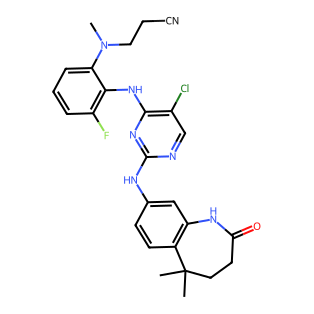 CN(CCC#N)c1cccc(F)c1Nc1nc(Nc2ccc3c(c2)NC(=O)CCC3(C)C)ncc1Cl